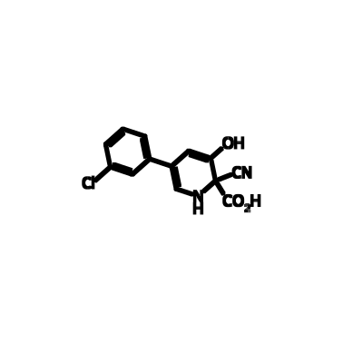 N#CC1(C(=O)O)NC=C(c2cccc(Cl)c2)C=C1O